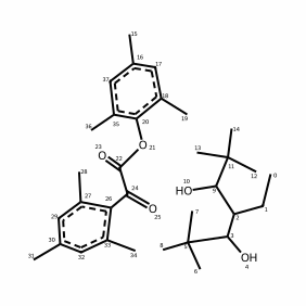 CCC(C(O)C(C)(C)C)C(O)C(C)(C)C.Cc1cc(C)c(OC(=O)C(=O)c2c(C)cc(C)cc2C)c(C)c1